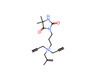 C#CC[N+](CC#C)(CCCN1C(=O)NC(C)(C)C1=O)CC(=C)C